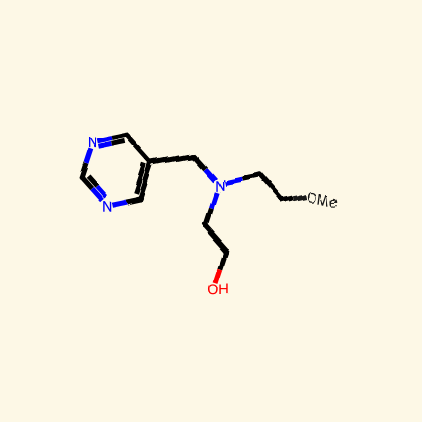 COCCN(CCO)Cc1cncnc1